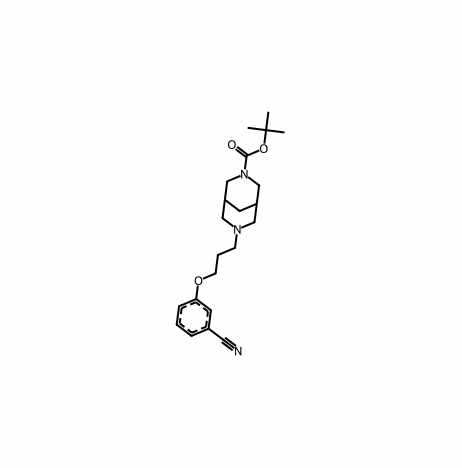 CC(C)(C)OC(=O)N1CC2CC(CN(CCCOc3cccc(C#N)c3)C2)C1